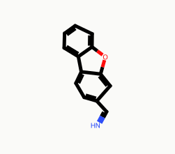 N=Cc1ccc2c(c1)oc1ccccc12